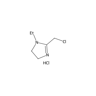 CCN1CCN=C1CCl.Cl